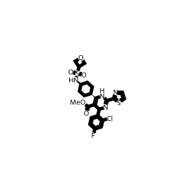 COC(=O)C1=C([C@H]2CC[C@H](NS(=O)(=O)C3COC3)CC2)NC(c2nccs2)=NC1c1ccc(F)cc1Cl